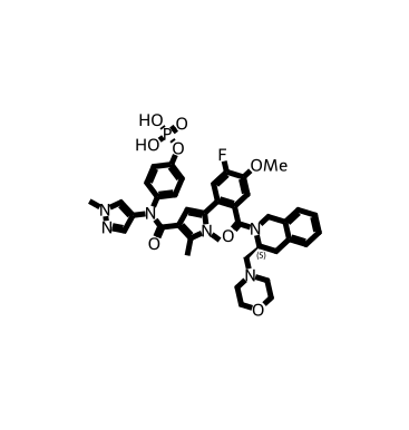 COc1cc(C(=O)N2Cc3ccccc3C[C@H]2CN2CCOCC2)c(-c2cc(C(=O)N(c3ccc(OP(=O)(O)O)cc3)c3cnn(C)c3)c(C)n2C)cc1F